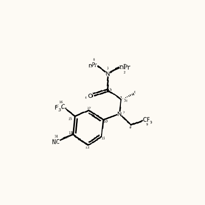 CCCN(CCC)C(=O)[C@H](C)N(CC(F)(F)F)c1ccc(C#N)c(C(F)(F)F)c1